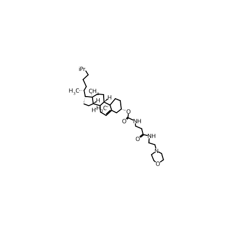 CC(C)CCC[C@@H](C)[C@H]1CC[C@H]2[C@@H]3CC=C4C[C@@H](OC(=O)NCCC(=O)NCCN5CCOCC5)CC[C@]4(C)[C@H]3CC[C@]12C